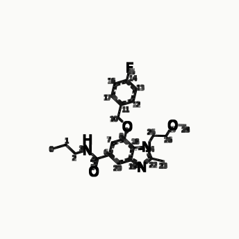 CCCNC(=O)c1cc(OCc2ccc(F)cc2)c2c(c1)nc(C)n2CCOC